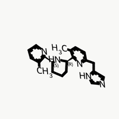 Cc1cccnc1[C@@H]1CCC[C@H](c2nc(Cc3cnc[nH]3)ccc2C)N1